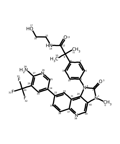 Cn1c(=O)n(-c2ccc(C(C)(C)C(=O)NCCO)cc2)c2c3cc(-c4cnc(N)c(C(F)(F)F)c4)ccc3ncc21